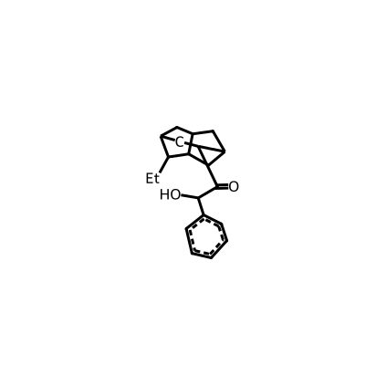 CCC1C2CC3CC(CC31)C(C(=O)C(O)c1ccccc1)C2